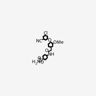 COc1cc(CC(=O)Nc2ccc(S(N)(=O)=O)cc2)ccc1Oc1cc(Cl)cc(C#N)c1